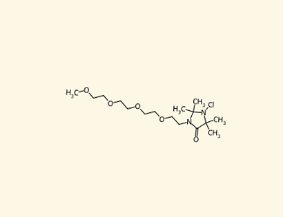 COCCOCCOCCOCCN1C(=O)C(C)(C)N(Cl)C1(C)C